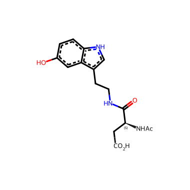 CC(=O)N[C@@H](CC(=O)O)C(=O)NCCc1c[nH]c2ccc(O)cc12